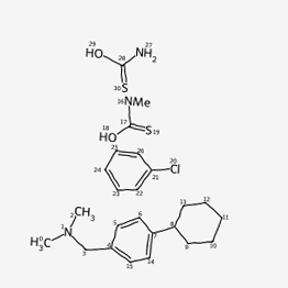 CN(C)Cc1ccc(C2CCCCC2)cc1.CNC(O)=S.Clc1ccccc1.NC(O)=S